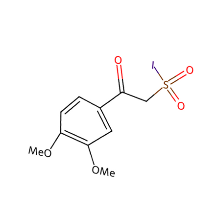 COc1ccc(C(=O)CS(=O)(=O)I)cc1OC